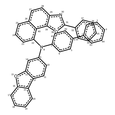 c1ccc(-c2ccc(N(c3ccc4c(c3)oc3ccccc34)c3cccc4ccc5nc(-c6ccccc6)oc5c34)cc2)cc1